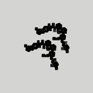 COc1cc(-c2nccc(-c3cccc(NC(=O)c4nc5c(n4C)CCN(CC4CCC(=O)N4)C5)c3Cl)c2Cl)ccc1CNCC1CCC(=O)N1.COc1cc(-c2nccc(-c3cccc(NC(=O)c4nc5c(n4C)CCN(CC4CCC(=O)N4)C5)c3Cl)c2Cl)ccc1CNCC1CCC(=O)N1